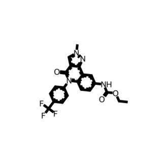 CCOC(=O)Nc1ccc2c(c1)c1nn(C)cc1c(=O)n2-c1ccc(C(F)(F)F)cc1